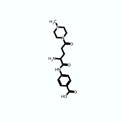 CN1CCN(C(=O)CCC(N)C(=O)Nc2ccc(C(=O)O)cc2)CC1